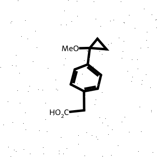 COC1(c2ccc(CC(=O)O)cc2)CC1